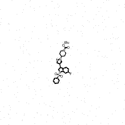 CC(C)(C)OC(=O)N1CCC(n2cc(-c3cn(S(=O)(=O)c4ccccc4)c4cc(F)ccc34)cn2)CC1